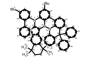 CC(C)(C)c1ccc(N2c3cc(C(C)(C)C)cc4c3B(c3c2oc2cc5c(cc32)C(C)(C)CCC5(C)C)N2c3ccccc3C(c3ccccc3)(c3ccccc3)c3cccc-4c32)c(-c2ccccc2)c1